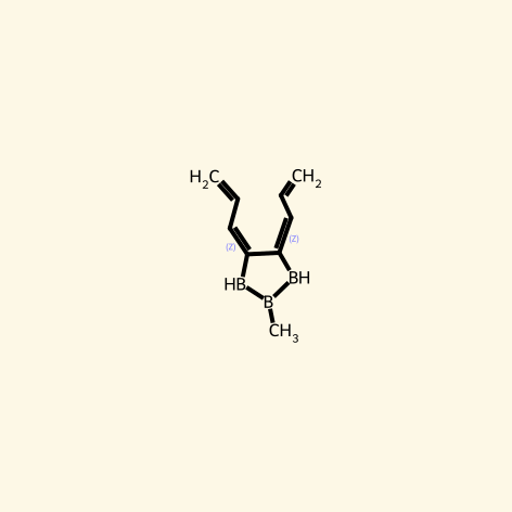 C=C/C=C1/BB(C)B/C1=C/C=C